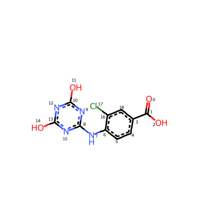 O=C(O)c1ccc(Nc2nc(O)nc(O)n2)c(Cl)c1